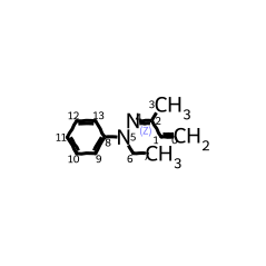 C=C/C(C)=N\N(CC)c1ccccc1